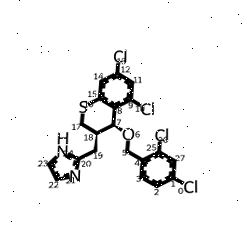 Clc1ccc(CO[C@@H]2c3c(Cl)cc(Cl)cc3SC[C@@H]2Cc2ncc[nH]2)c(Cl)c1